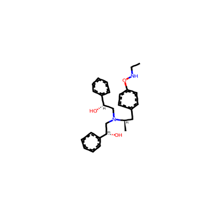 CCNOc1ccc(C[C@@H](C)N(C[C@H](O)c2ccccc2)C[C@H](O)c2ccccc2)cc1